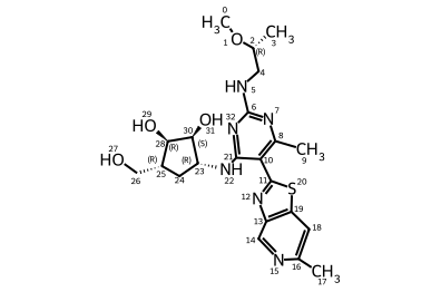 CO[C@H](C)CNc1nc(C)c(-c2nc3cnc(C)cc3s2)c(N[C@@H]2C[C@H](CO)[C@@H](O)[C@H]2O)n1